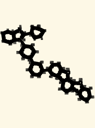 c1ccc(-c2nc3ccccc3n2-c2ccc(-c3cccc(-c4ccc5oc6c(ccc7c8ccccc8oc76)c5c4)c3)cc2)cc1